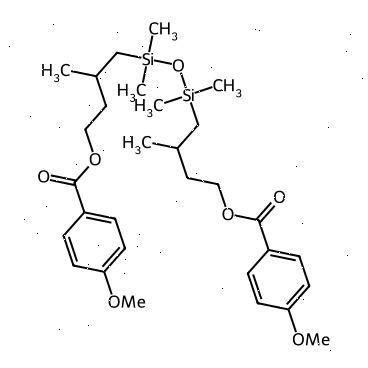 COc1ccc(C(=O)OCCC(C)C[Si](C)(C)O[Si](C)(C)CC(C)CCOC(=O)c2ccc(OC)cc2)cc1